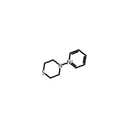 c1cc[n+](N2CCSCC2)cc1